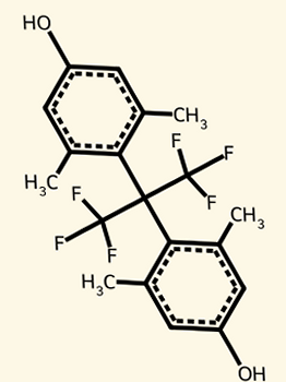 Cc1cc(O)cc(C)c1C(c1c(C)cc(O)cc1C)(C(F)(F)F)C(F)(F)F